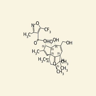 CC1=C[C@]23C(=O)[C@@H](C=C(CO)[C@@H](O)[C@]2(O)[C@H]1OC(=O)c1c(C)noc1C(F)(F)F)C(C)(C)[C@@H](C)C[C@H]3C